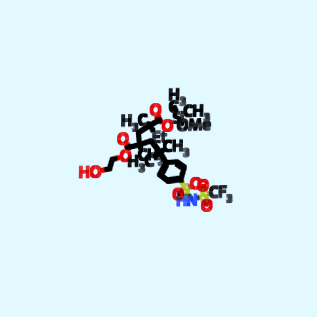 CCC(C)(CC(C)(CC(C)(C)c1ccc(S(=O)(=O)NS(=O)(=O)C(F)(F)F)cc1)C(=O)OCCO)C(=O)O[Si](C)(C)OC